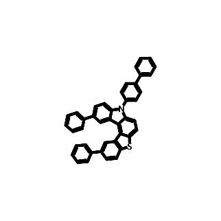 c1ccc(-c2ccc(-n3c4ccc(-c5ccccc5)cc4c4c5c(ccc43)sc3ccc(-c4ccccc4)cc35)cc2)cc1